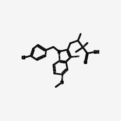 COc1ccc2c(c1)c(C)c(CC(C)C(C)(C)C(=O)O)n2Cc1ccc(Cl)cc1